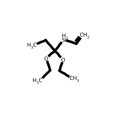 C=C[SiH2]C(CC)(OCC)OCC